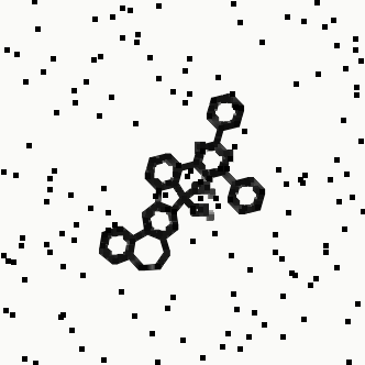 CC1(C)c2cc3c(cc2-c2cccc(-c4nc(-c5ccccc5)nc(-c5ccccc5)n4)c21)-c1ccccc1CCC3